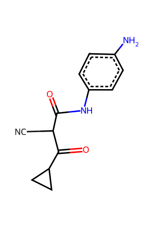 N#CC(C(=O)Nc1ccc(N)cc1)C(=O)C1CC1